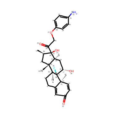 C[C@@H]1C[C@H]2[C@@H]3CCC4=CC(=O)C=C[C@]4(C)[C@@]3(F)[C@@H](O)C[C@]2(C)[C@@]1(O)C(=O)COc1ccc(N)cc1